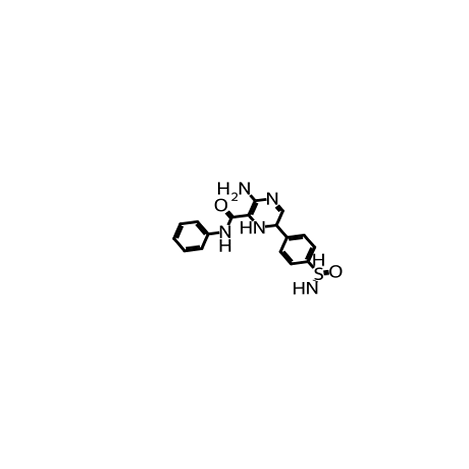 N=[SH](=O)c1ccc(C2C=NC(N)=C(C(=O)Nc3ccccc3)N2)cc1